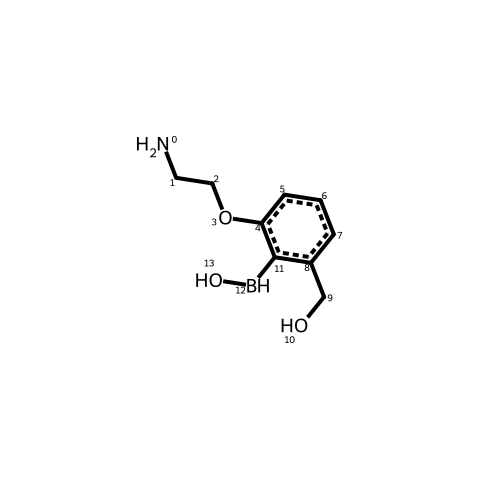 NCCOc1cccc(CO)c1BO